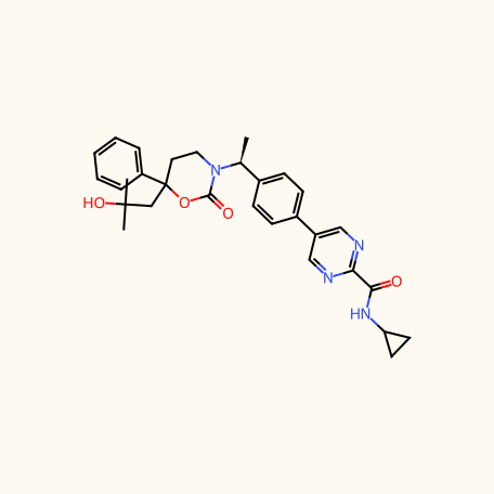 C[C@@H](c1ccc(-c2cnc(C(=O)NC3CC3)nc2)cc1)N1CCC(CC(C)(C)O)(c2ccccc2)OC1=O